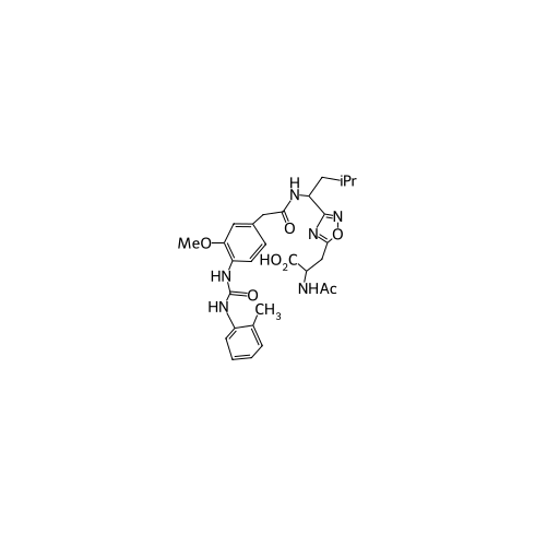 COc1cc(CC(=O)NC(CC(C)C)c2noc(CC(NC(C)=O)C(=O)O)n2)ccc1NC(=O)Nc1ccccc1C